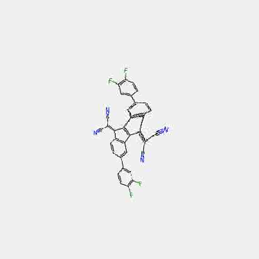 N#CC(C#N)=C1C2=C(C(=C(C#N)C#N)c3ccc(-c4ccc(F)c(F)c4)cc32)c2cc(-c3ccc(F)c(F)c3)ccc21